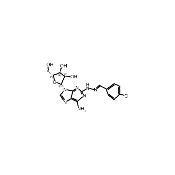 Nc1nc(NN=Cc2ccc(Cl)cc2)nc2c1ncn2[C@@H]1O[C@H](CO)[C@@H](O)[C@H]1O